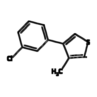 Cc1[c]scc1-c1cccc(Cl)c1